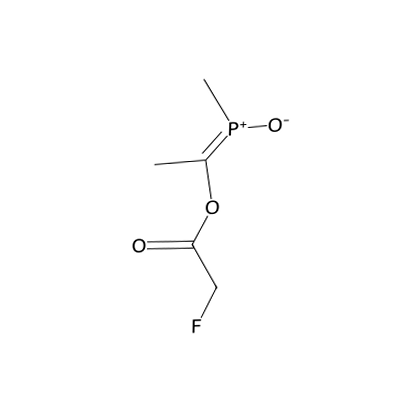 C/C(OC(=O)CF)=[P+](\C)[O-]